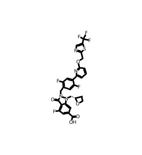 O=C(O)c1cc(F)c2c(=O)n(Cc3cc(F)c(-c4cccc(OCc5ncc(C(F)(F)F)s5)n4)cc3F)n(C[C@@H]3CCO3)c2c1